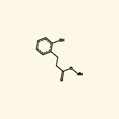 CCCCOC(=O)CCc1ccccc1O